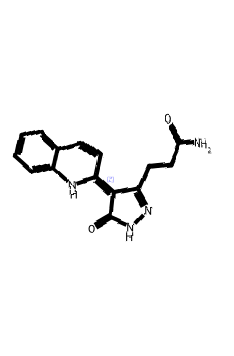 NC(=O)CCC1=NNC(=O)/C1=C1/C=Cc2ccccc2N1